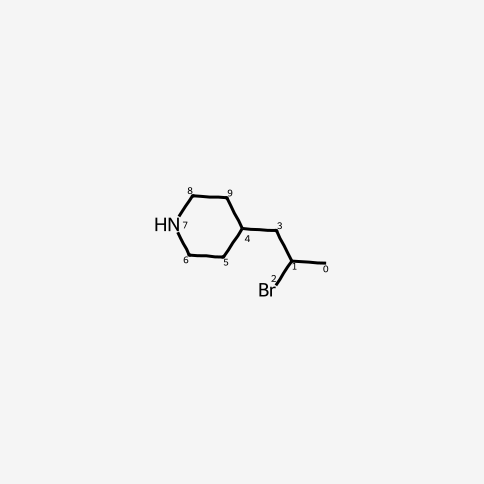 CC(Br)CC1CCNCC1